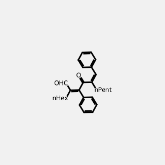 CCCCCCC(C=O)=C(C(=O)C(=Cc1ccccc1)CCCCC)c1ccccc1